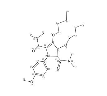 CCCCOc1c(OCCCC)c(C(=O)N(C)C)n(-c2ccc(OC)cc2)c1C(=O)N(C)C